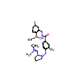 CC[S+]([O-])c1ccc(Cl)cc1CNC(=O)c1ccc(CN2CCC[C@H]2CN(C)C)c(C(F)(F)F)c1